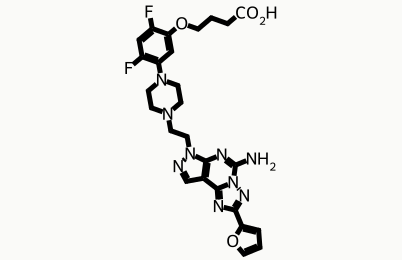 Nc1nc2c(cnn2CCN2CCN(c3cc(OCCCC(=O)O)c(F)cc3F)CC2)c2nc(-c3ccco3)nn12